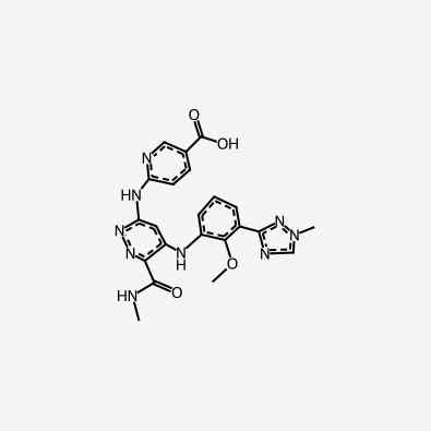 CNC(=O)c1nnc(Nc2ccc(C(=O)O)cn2)cc1Nc1cccc(-c2ncn(C)n2)c1OC